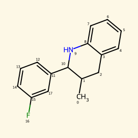 CC1Cc2ccccc2NC1c1cccc(F)c1